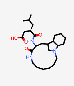 CC(C)C[C@H](CC(=O)O)C(=O)N[C@H]1CC2CN(CCCCCCNC1=O)C1CCCCC21